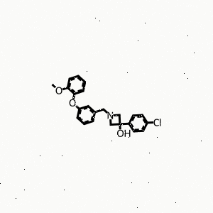 COc1ccccc1Oc1cccc(CN2CC(O)(c3ccc(Cl)cc3)C2)c1